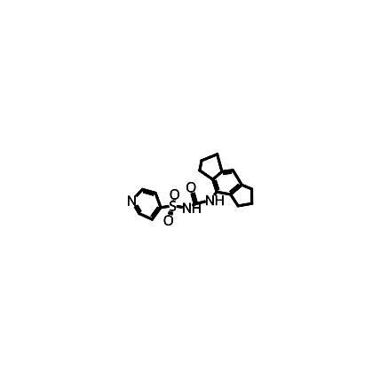 O=C(Nc1c2c(cc3c1CCC3)CCC2)NS(=O)(=O)c1ccncc1